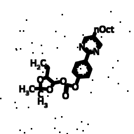 C=CC1OC(C)(C)OC1OC(=O)Oc1ccc(-c2ncc(CCCCCCCC)cn2)cc1